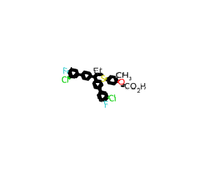 CCC(CSc1ccc(OCC(=O)O)c(C)c1)=C(c1ccc(-c2ccc(F)c(Cl)c2)cc1)c1ccc(-c2ccc(F)c(Cl)c2)cc1